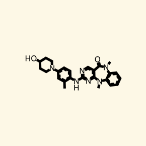 Cc1cc(N2CCC(O)CC2)ccc1Nc1ncc2c(n1)N(C)c1ccccc1N(C)C2=O